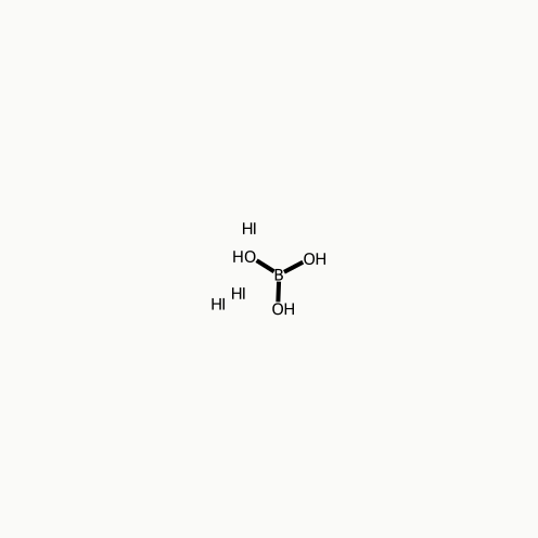 I.I.I.OB(O)O